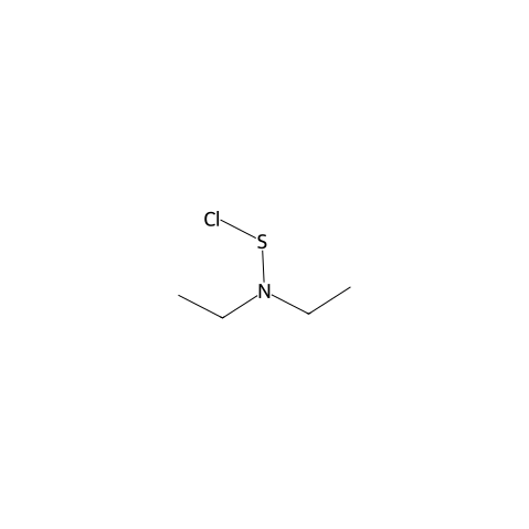 CCN(CC)SCl